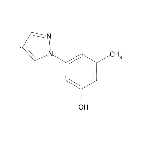 Cc1cc(O)cc(-n2c[c]cn2)c1